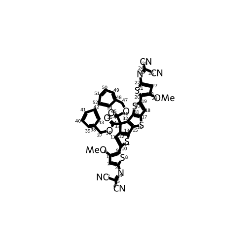 COc1cc(N=C(C#N)C#N)sc1-c1cc2c(s1)-c1sc3cc(-c4sc(N=C(C#N)C#N)cc4OC)sc3c1C2(C(=O)OCc1ccccc1)C(=O)OCc1ccccc1